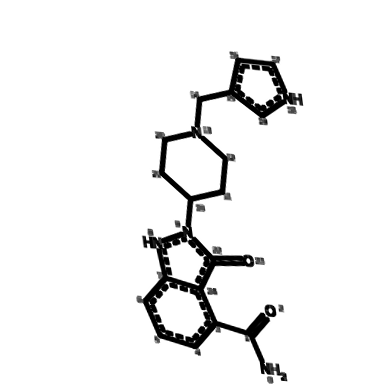 NC(=O)c1cccc2[nH]n(C3CCN(Cc4cc[nH]c4)CC3)c(=O)c12